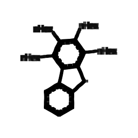 CCCCCCc1c2c(c(CCCCCC)c(CCCCCC)c1CCCCCC)-c1ccccc1[CH]2